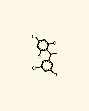 CC(c1cc(Cl)cc(Cl)c1)c1c([O])cc(Cl)cc1Cl